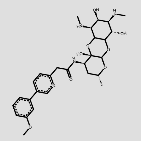 CN[C@@H]1[C@H](O)[C@H](NC)C2O[C@]3(O)C(OC2[C@H]1O)O[C@H](C)C[C@H]3NC(=O)Cc1ccc(-c2cccc(OC)c2)cn1